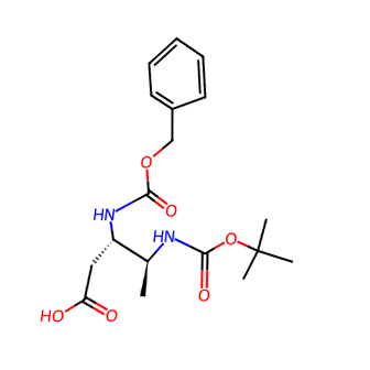 C[C@H](NC(=O)OC(C)(C)C)[C@H](CC(=O)O)NC(=O)OCc1ccccc1